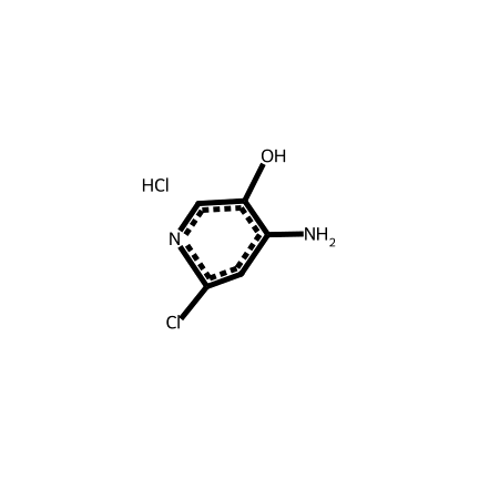 Cl.Nc1cc(Cl)ncc1O